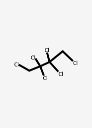 ClCC(Cl)(Cl)C(Cl)(Cl)CCl